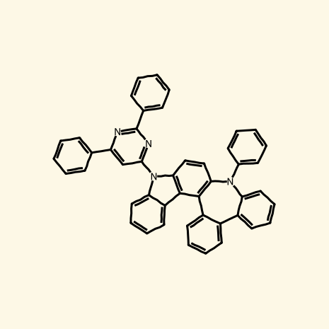 c1ccc(-c2cc(-n3c4ccccc4c4c5c(ccc43)N(c3ccccc3)c3ccccc3-c3ccccc3-5)nc(-c3ccccc3)n2)cc1